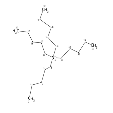 CCCC[CH][N+](CCCCC)(CCCCC)CCCCC